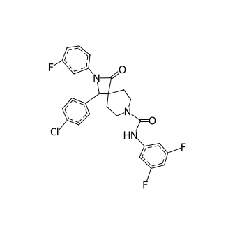 O=C(Nc1cc(F)cc(F)c1)N1CCC2(CC1)C(=O)N(c1cccc(F)c1)C2c1ccc(Cl)cc1